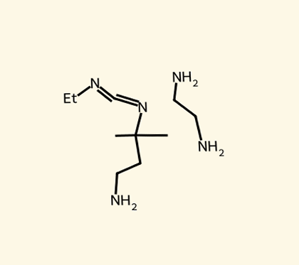 CCN=C=NC(C)(C)CCN.NCCN